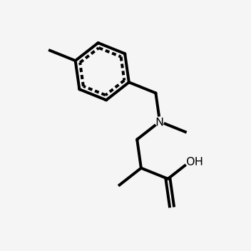 C=C(O)C(C)CN(C)Cc1ccc(C)cc1